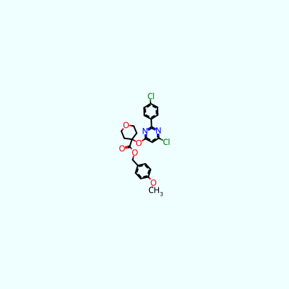 COc1ccc(COC(=O)C2(Oc3cc(Cl)nc(-c4ccc(Cl)cc4)n3)CCOCC2)cc1